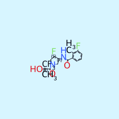 Cc1c(F)cccc1C(=O)N[C@@H]1CN(C(=O)[C@@](C)(O)C(F)(F)F)C[C@@H]1F